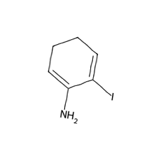 NC1=CCCC=C1I